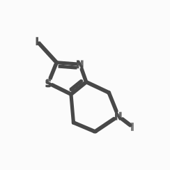 Ic1nc2c(s1)CCN(I)C2